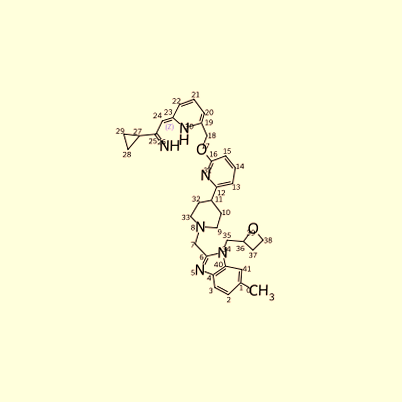 Cc1ccc2nc(CN3CCC(c4cccc(OCC5=CC=C/C(=C/C(=N)C6CC6)N5)n4)CC3)n(CC3CCO3)c2c1